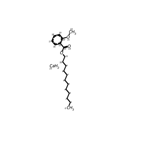 CCCCCCCCCCCCOC(=O)c1ccccc1OC.[CaH2]